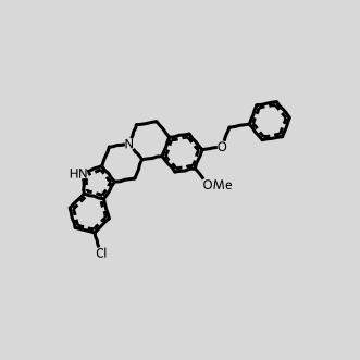 COc1cc2c(cc1OCc1ccccc1)CCN1Cc3[nH]c4ccc(Cl)cc4c3CC21